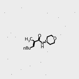 CCCCC=C(C)C(=O)NN1CCOCC1